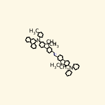 Cc1cccc(N(c2ccc3c(c2)C(C)(C)c2cc(/C=C/c4ccc5c(c4)C(C)(C)c4cc(N(c6ccccc6)c6ccccc6)ccc4-5)ccc2-3)c2cc3ccccc3c3ccccc23)c1